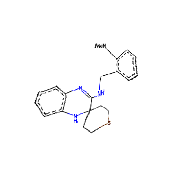 CNc1ccccc1CNC1=Nc2ccccc2NC12CCSCC2